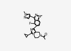 CC(=O)N1CCn2c(C3CC3)nc(-c3ccc4c(c(-c5cnn(C)c5)nn4C)c3F)c2C1